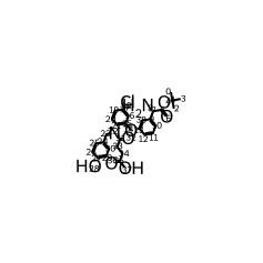 CC(C)(C)OC(=O)C(N)c1cccc(Oc2cc(Cl)ccc2N(Cc2ccc(O)cc2)C(=O)CCC(=O)O)c1